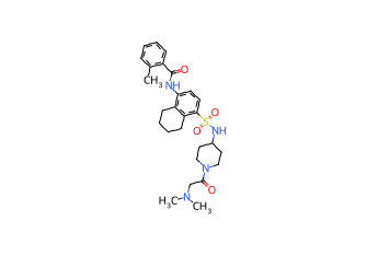 Cc1ccccc1C(=O)Nc1ccc(S(=O)(=O)NC2CCN(C(=O)CN(C)C)CC2)c2c1CCCC2